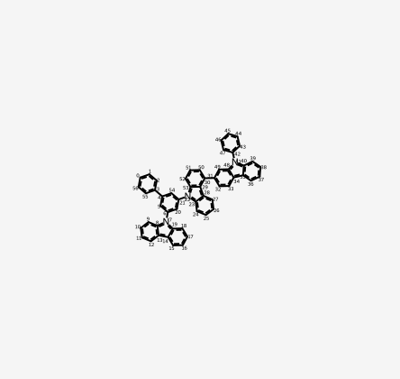 c1ccc(-c2cc(-n3c4ccccc4c4ccccc43)cc(-n3c4ccccc4c4c(-c5ccc6c7ccccc7n(-c7ccccc7)c6c5)cccc43)c2)cc1